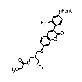 C=CC(=O)OCC(CSc1ccc2cc(-c3ccc(CCCCC)cc3C(F)(F)F)c(=O)oc2c1)CC(F)(F)F